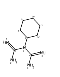 N=C(N)N(C(=N)N)C1CCCCC1